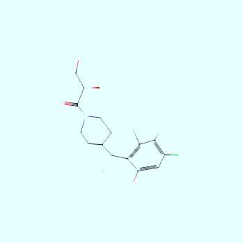 N[C@@H](c1c(O)cc(Cl)c(Cl)c1Cl)C1CCN(C(=O)[C@H](O)CO)CC1